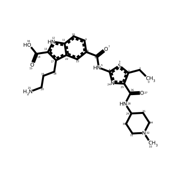 CCc1sc(NC(=O)c2ccc3[nH]c(C(=O)O)c(CCCN)c3c2)nc1C(=O)NC1CCN(C)CC1